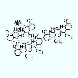 Cc1nc2c([O-])cccc2c(C)c1Oc1c(C)nc2c([O-])cccc2c1C.Cc1nc2c([O-])cccc2c(C)c1Oc1c(C)nc2c([O-])cccc2c1C.Cc1nc2c([O-])cccc2c(C)c1Oc1c(C)nc2c([O-])cccc2c1C.[Al+3].[Al+3]